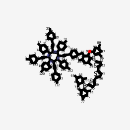 Cc1ccc(C#CC2=C(c3ccc(C)cc3)/C(C#Cc3ccc(C)cc3)=C(c3ccc(C)cc3)\C(C#Cc3ccc(Cc4c(C)cc(C)c(B(c5ccc(-c6ccc(-c7ccc(B(c8c(C)cc(C)cc8C)c8c(C)cc(C)cc8C)s7)s6)s5)c5c(C)cc(C)cc5C)c4C)cc3)=C(c3ccc(C)cc3)/C(C#Cc3ccc(C)cc3)=C\2c2ccc(C)cc2)cc1